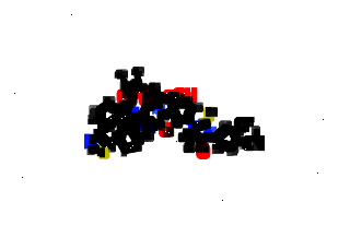 Cc1ncsc1-c1ccc(CNC(=O)[C@@H]2C[C@@H](O)CN2C(=O)[C@H](C(C)C)N2Cc3ccccc3C2=O)c(OCCO[C@H](C)[C@@H](C)OCCOc2ccc(N3C(=S)N(c4ccc(C#N)c(C(F)(F)F)c4)C(=O)C3(C)C)cc2)c1